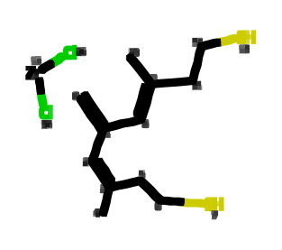 C=C(C=C(C)CCS)C=C(C)CCS.[Cl][Zr][Cl]